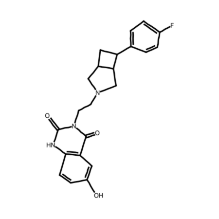 O=c1[nH]c2ccc(O)cc2c(=O)n1CCN1CC2CC(c3ccc(F)cc3)C2C1